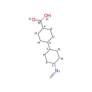 C=NC1CCC(C2CCC(C(=O)O)CC2)CC1